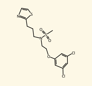 CS(=O)(=O)N(CCCc1nccs1)CCOc1cc(Cl)cc(Cl)c1